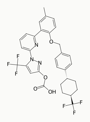 Cc1ccc(OCc2ccc([C@H]3CC[C@H](C(F)(F)F)CC3)cc2)c(-c2cccc(-n3nc(OC(=O)O)cc3C(F)(F)F)n2)c1